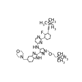 C[Si](C)(C)C#Cc1cccc(-c2nccc(Nc3cn(COCC[Si](C)(C)C)nc3-c3nc4cc(CN5CCOCC5)ccc4[nH]3)n2)c1F